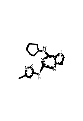 Cc1cc(Nc2nc(NC3CCCCC3)c3occc3n2)sn1